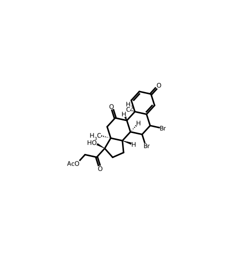 CC(=O)OCC(=O)[C@@]1(O)CC[C@H]2[C@@H]3C(Br)C(Br)C4=CC(=O)C=C[C@]4(C)[C@H]3C(=O)C[C@@]21C